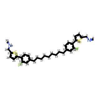 C=NCc1ccc(-c2ccc(CCCCCCCCCc3ccc(-c4ccc(CN=C)s4)c(F)c3)cc2F)s1